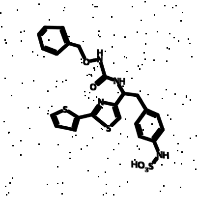 O=C(NOCc1ccccc1)NC(Cc1ccc(NS(=O)(=O)O)cc1)c1csc(-c2cccs2)n1